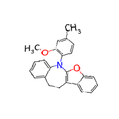 COc1cc(C)ccc1N1c2ccccc2CCc2c1oc1ccccc21